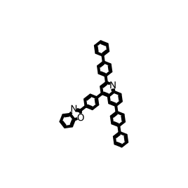 c1ccc(-c2ccc(-c3ccc4nc(-c5ccc(-c6ccccc6)cc5)cc(-c5ccc(-c6nc7ccccc7o6)cc5)c4c3)cc2)cc1